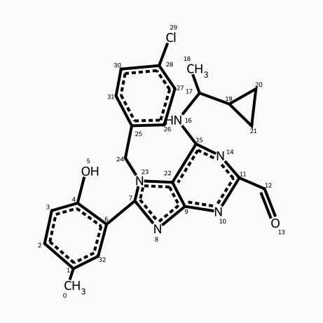 Cc1ccc(O)c(-c2nc3nc(C=O)nc(NC(C)C4CC4)c3n2Cc2ccc(Cl)cc2)c1